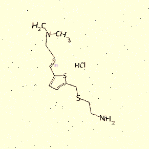 CN(C)C/C=C/c1ccc(CSCCN)s1.Cl